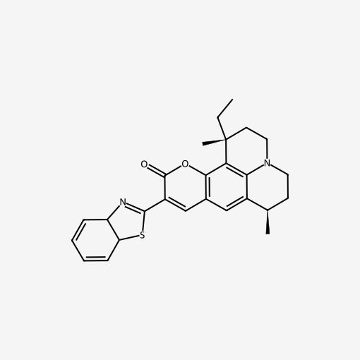 CC[C@]1(C)CCN2CC[C@@H](C)c3cc4cc(C5=NC6C=CC=CC6S5)c(=O)oc4c1c32